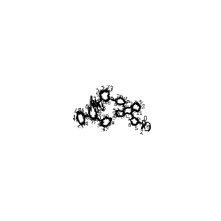 CP(C)(=O)c1cccc(-c2c3ccccc3c(-c3cccc(-c4cccc(-c5nc6c(-c7ccccc7)cc(-c7ccccc7)cn6n5)c4)c3)c3ccccc23)c1